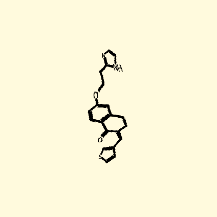 O=C1C(=Cc2ccsc2)CCc2cc(OCCc3ncc[nH]3)ccc21